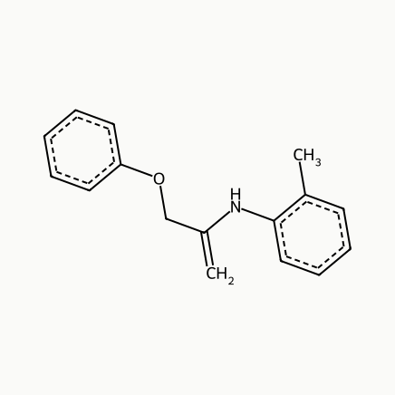 C=C(COc1ccccc1)Nc1ccccc1C